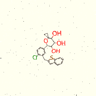 OC1C(c2ccc(Cl)c(Cc3cc4ccccc4s3)c2)OC2(CC2)C(O)C1O